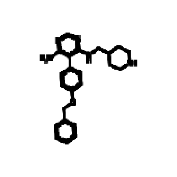 Nc1ncnc(NCC2CCNCC2)c1-c1ccc(OCc2ccccc2)cc1